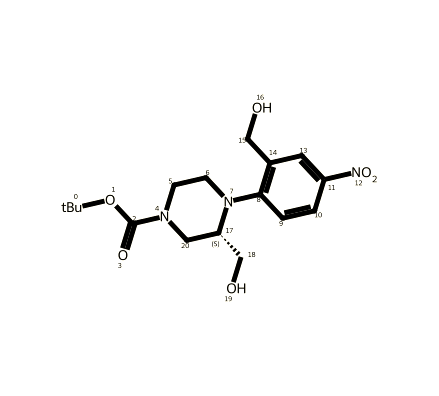 CC(C)(C)OC(=O)N1CCN(c2ccc([N+](=O)[O-])cc2CO)[C@H](CO)C1